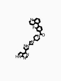 O=C(c1ccc(-c2cccc3ncccc23)c(F)c1)N1CCC(N2C[C](n3cc(-c4ncnc5[nH]ccc45)cn3)C2)CC1